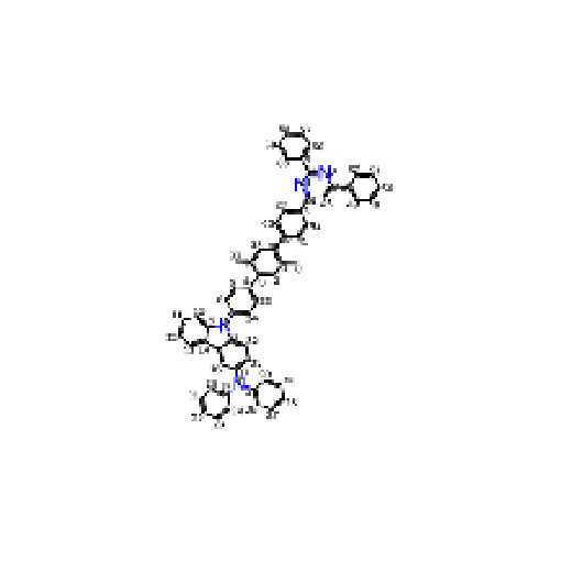 Cc1cc(-c2ccc(-n3c4ccccc4c4cc(N(c5ccccc5)c5ccccc5)ccc43)cc2)c(C)cc1-c1ccc(-c2cc(-c3ccccc3)nc(-c3ccccc3)n2)cc1